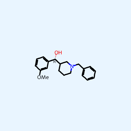 COc1cccc([C@H](O)C2CCCN(Cc3ccccc3)C2)c1